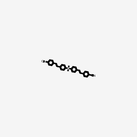 [C-]#[N+]c1ccc(/C=C/c2ccc([Si](C)(C)c3ccc(/C=C/c4ccc(C#N)cc4)cc3)cc2)cc1